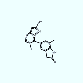 Cc1cc(-c2c(C)ccc3cc(C(C)C)nn23)cc2c1NC(=O)C2